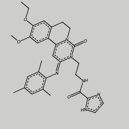 CCOc1cc2c(cc1OC)-c1c/c(=N\c3c(C)cc(C)cc3C)n(CCNC(=O)c3ncc[nH]3)c(=O)n1CC2